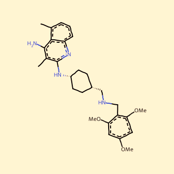 COc1cc(OC)c(CNC[C@H]2CC[C@@H](Nc3nc4cccc(C)c4c(N)c3C)CC2)c(OC)c1